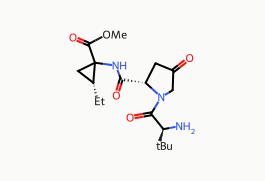 CC[C@@H]1CC1(NC(=O)[C@@H]1CC(=O)CN1C(=O)[C@@H](N)C(C)(C)C)C(=O)OC